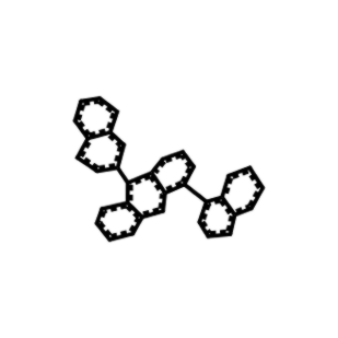 c1ccc2cc(-c3c4ccccc4cc4c(-c5cccc6ccccc56)cccc34)ccc2c1